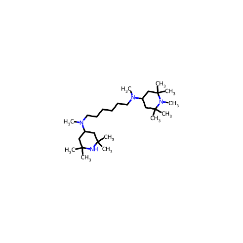 CN(CCCCCCN(C)C1CC(C)(C)N(C)C(C)(C)C1)C1CC(C)(C)NC(C)(C)C1